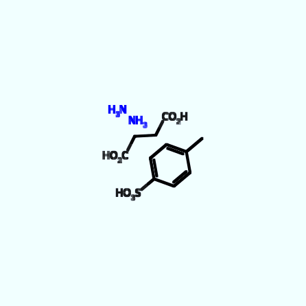 Cc1ccc(S(=O)(=O)O)cc1.N.N.O=C(O)CCC(=O)O